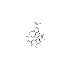 COC(=O)C1=C(C(=O)OC)C(C(=O)OC)(C(=O)OC)C(c2ccc([N+](=O)[O-])cc2I)=C1C(=O)OC